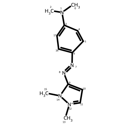 CN(C)c1ccc(N=Nc2cc[n+](C)n2C)cc1